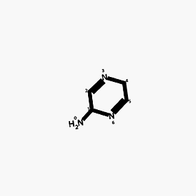 NC1C=NCC=N1